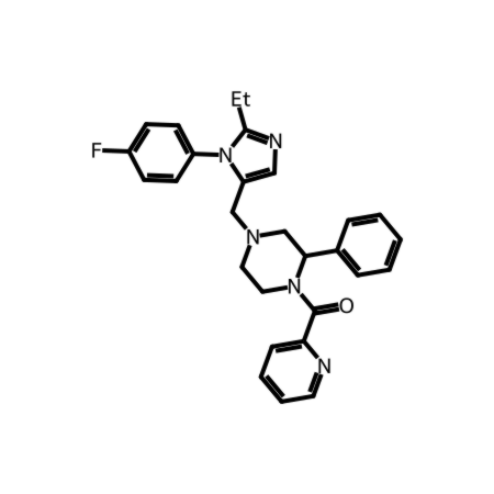 CCc1ncc(CN2CCN(C(=O)c3ccccn3)C(c3ccccc3)C2)n1-c1ccc(F)cc1